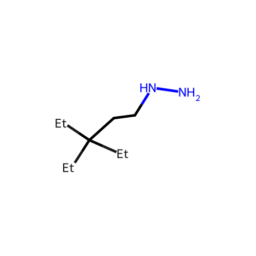 CCC(CC)(CC)CCNN